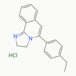 CCc1ccc(C2=Cc3ccccc3C3=NCCN23)cc1.Cl